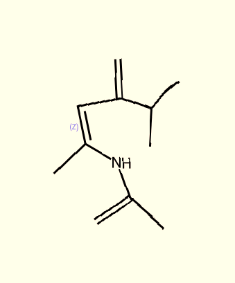 C=C(C)N/C(C)=C\C(=C)C(C)C